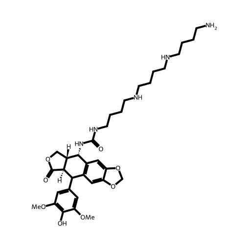 COc1cc(C2c3cc4c(cc3[C@@H](NC(=O)NCCCCNCCCCNCCCCN)[C@H]3COC(=O)[C@H]23)OCO4)cc(OC)c1O